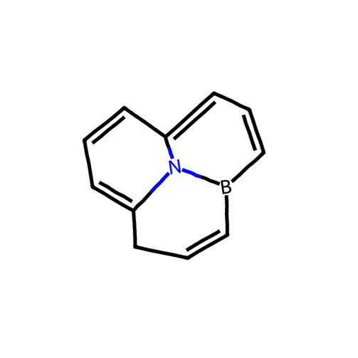 C1=CB2C=CCC3=CC=CC(=C1)N23